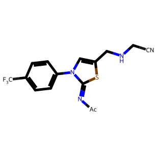 CC(=O)N=c1sc(CNCC#N)cn1-c1ccc(C(F)(F)F)cc1